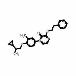 Cc1cc(-n2ccnc(SCCc3ccccc3)c2=O)ccc1OCC(C)C1CC1